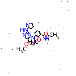 CCOC(=O)c1cnc(Nc2ccccn2)nc1Nc1cccc(-c2nnc(C)o2)c1OC